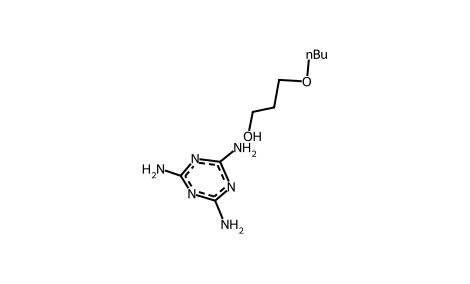 CCCCOCCCO.Nc1nc(N)nc(N)n1